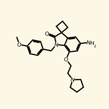 COc1ccc(CN2C(=O)C3(CCC3)c3cc(N)cc(OCCN4CCCC4)c32)cc1